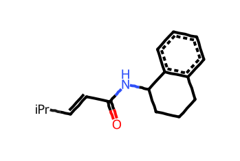 CC(C)C=CC(=O)NC1CCCc2ccccc21